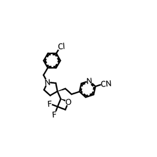 N#Cc1ccc(CC[C@@]2([C@H]3OCC3(F)F)CCN(Cc3ccc(Cl)cc3)C2)cn1